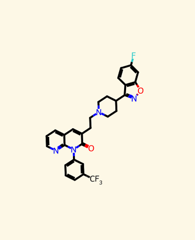 O=c1c(CCN2CCC(c3noc4cc(F)ccc34)CC2)cc2cccnc2n1-c1cccc(C(F)(F)F)c1